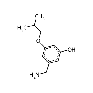 CC(C)COc1cc(O)cc(CN)c1